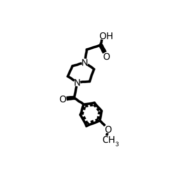 COc1ccc(C(=O)N2CCN(CC(=O)O)CC2)cc1